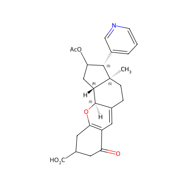 CC(=O)OC1C[C@H]2[C@@H]3OC4=C(C=C3CC[C@]2(C)[C@H]1c1cccnc1)C(=O)CC(C(=O)O)C4